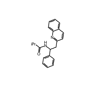 CC(C)C(=O)NC(Cc1ccc2ccccc2n1)c1ccccc1